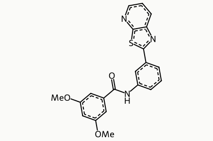 COc1cc(OC)cc(C(=O)Nc2cccc(-c3nc4cccnc4s3)c2)c1